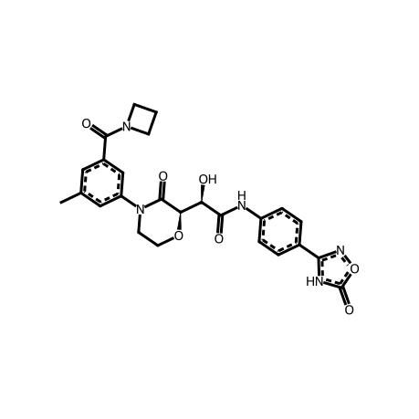 Cc1cc(C(=O)N2CCC2)cc(N2CCO[C@H]([C@@H](O)C(=O)Nc3ccc(-c4noc(=O)[nH]4)cc3)C2=O)c1